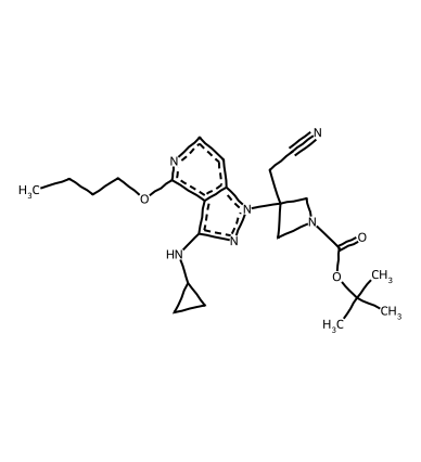 CCCCOc1nccc2c1c(NC1CC1)nn2C1(CC#N)CN(C(=O)OC(C)(C)C)C1